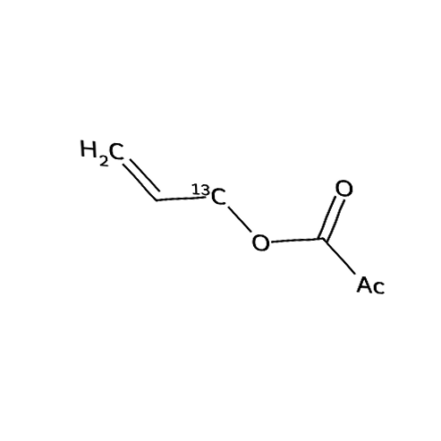 C=C[13CH2]OC(=O)C(C)=O